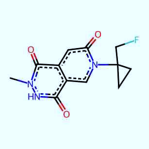 Cn1[nH]c(=O)c2cn(C3(CF)CC3)c(=O)cc2c1=O